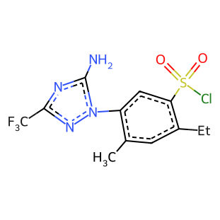 CCc1cc(C)c(-n2nc(C(F)(F)F)nc2N)cc1S(=O)(=O)Cl